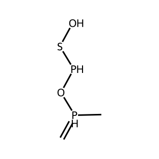 C=[PH](C)OPSO